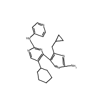 Nc1ncc(-c2nc(Nc3ccncc3)ncc2C2CCCCC2)c(CC2CC2)n1